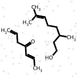 C=CCC(=O)C=CC.CC(C)=CCCC(C)CCO